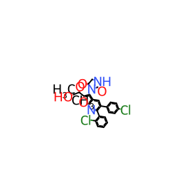 CC(C)(O)C(=O)c1oc2nc(-c3ccccc3Cl)c(-c3ccc(Cl)cc3)cc2c1N1C(=O)CNC1=O